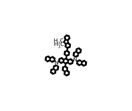 CC1(C)c2ccccc2-c2ccc(-c3ccc(-c4c5ccc(N(c6ccc7ccccc7c6)c6ccc7ccccc7c6)cc5c(-c5ccc6ccccc6c5)c5ccc(N(c6ccc7ccccc7c6)c6ccc7ccccc7c6)cc45)cc3)cc21